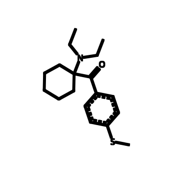 CCN(CC)C1(C(=O)c2ccc(SC)cc2)CCCCC1